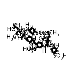 CC(O)CN(CC(C)O)c1nc(Nc2ccc(S(=O)(=O)O)cc2)nc(Nc2ccc(C=Cc3ccc(Nc4nc(Nc5ccc(S(=O)(=O)O)cc5)nc(N(CC(C)O)CC(C)O)n4)cc3S(=O)(=O)O)c(S(=O)(=O)O)c2)n1.[Na]